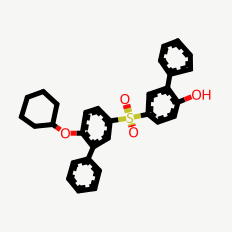 O=S(=O)(c1ccc(O)c(-c2ccccc2)c1)c1ccc(OC2CCCCC2)c(-c2ccccc2)c1